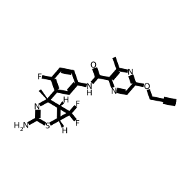 C#CCOc1cnc(C(=O)Nc2ccc(F)c([C@@]3(C)N=C(N)S[C@@H]4[C@H]3C4(F)F)c2)c(C)n1